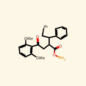 COc1cccc(OC)c1C(=O)CC(C(=O)OP)C(CC(C)C)c1ccccc1